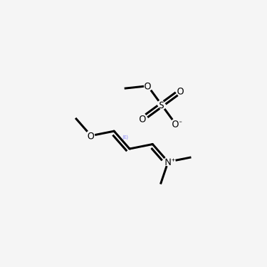 CO/C=C/C=[N+](C)C.COS(=O)(=O)[O-]